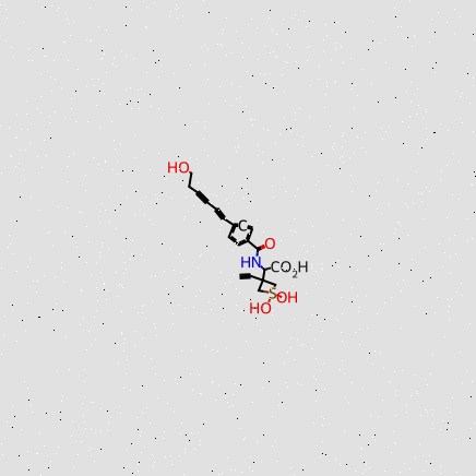 C#CC1(C(NC(=O)c2ccc(C#CC#CCCO)cc2)C(=O)O)CS(O)(O)C1